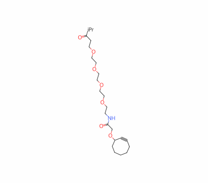 CC(C)C(=O)CCOCCOCCOCCOCCNC(=O)COC1C#CCCCCC1